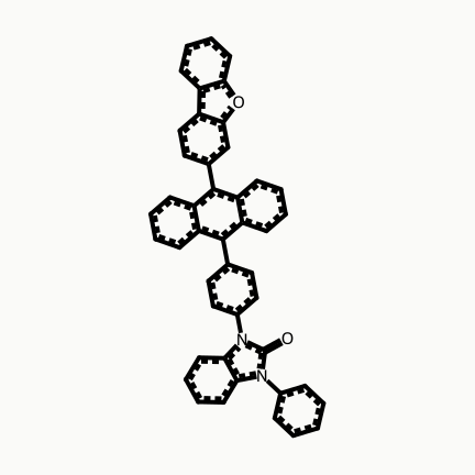 O=c1n(-c2ccccc2)c2ccccc2n1-c1ccc(-c2c3ccccc3c(-c3ccc4c(c3)oc3ccccc34)c3ccccc23)cc1